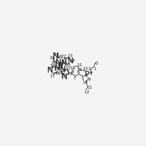 CCCC[P+](CCCC)(CCCC)CCCC.c1cn([B-](n2ccnc2)(n2ccnc2)n2ccnc2)cn1